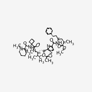 COC(=O)[C@@H](C)C[C@H](CCc1ccccc1)NC(=O)c1csc([C@@H](C[C@H](C(C)C)N(C)C(=O)C2(NC(=O)[C@H]3CCCCN3C)CCC2)OC(C)=O)n1